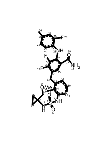 COCC1(NS(=O)(=O)Nc2nccc(Cc3cc(C(N)=O)c(Nc4ccc(I)cc4F)c(F)c3F)c2F)CC1